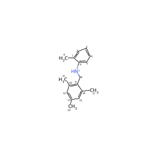 [CH2]c1ccccc1NCc1c(C)cc(C)cc1C